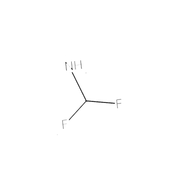 NC(F)F